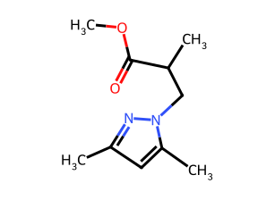 COC(=O)C(C)Cn1nc(C)cc1C